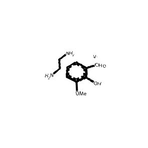 COc1cccc(C=O)c1O.NCCN.[V]